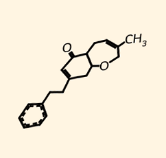 CC1=CCC2C(=O)C=C(CCc3ccccc3)CC2OC1